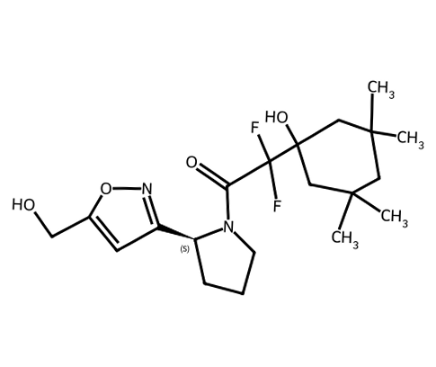 CC1(C)CC(C)(C)CC(O)(C(F)(F)C(=O)N2CCC[C@H]2c2cc(CO)on2)C1